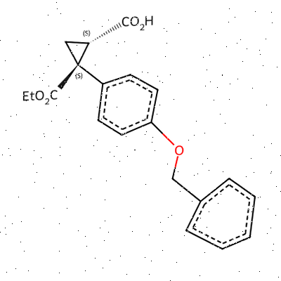 CCOC(=O)[C@@]1(c2ccc(OCc3ccccc3)cc2)C[C@@H]1C(=O)O